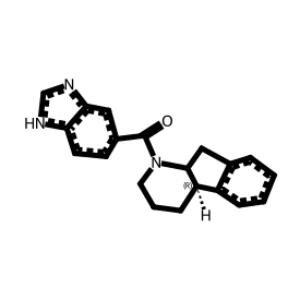 O=C(c1ccc2[nH]cnc2c1)N1CCC[C@@H]2c3ccccc3CC21